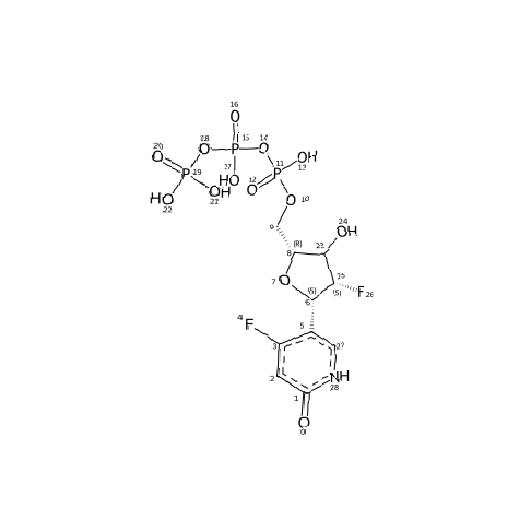 O=c1cc(F)c([C@@H]2O[C@H](COP(=O)(O)OP(=O)(O)OP(=O)(O)O)C(O)[C@@H]2F)c[nH]1